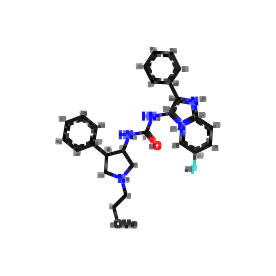 COCCN1CC(NC(=O)Nc2c(-c3ccccc3)nc3ccc(F)cn23)C(c2ccccc2)C1